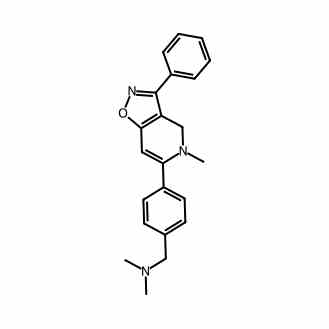 CN(C)Cc1ccc(C2=Cc3onc(-c4ccccc4)c3CN2C)cc1